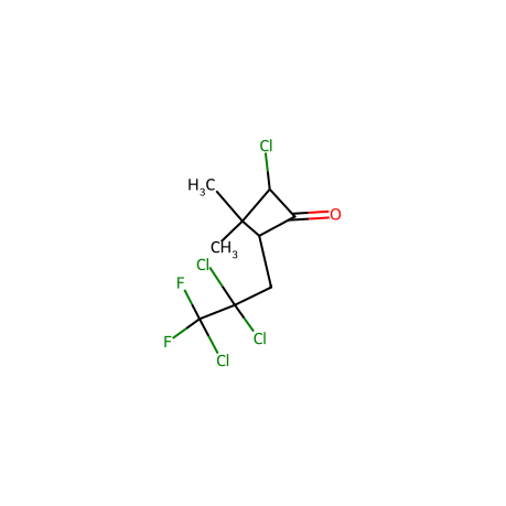 CC1(C)C(Cl)C(=O)C1CC(Cl)(Cl)C(F)(F)Cl